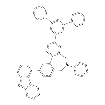 c1ccc(-c2cc(-c3ccc4c(c3)CN(c3ccccc3)Cc3ccc(-c5cccc6oc7ccccc7c56)cc3-4)cc(-c3ccccc3)n2)cc1